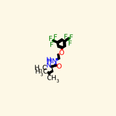 CN[C@H](CC(C)C)C(=O)NCCOc1cc(C(F)(F)F)cc(C(F)(F)F)c1